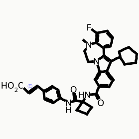 CN1CCn2c(c(C3CCCCC3)c3ccc(C(=O)NC4(C(=O)Nc5ccc(/C=C/C(=O)O)cc5)CCC4)cc32)-c2cccc(F)c21